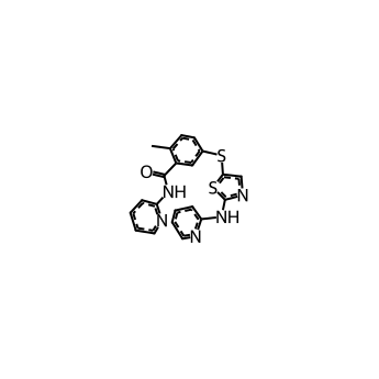 Cc1ccc(Sc2cnc(Nc3ccccn3)s2)cc1C(=O)Nc1ccccn1